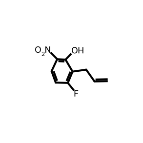 C=CCc1c(F)ccc([N+](=O)[O-])c1O